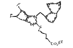 CCOC(=O)CCCSc1nc2cc(F)c(F)cc2n1Cc1cccc2ccccc12